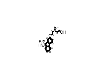 CC(=O)N(CCO)CCOc1ccc2c(c1)C(O)(C(F)(F)F)c1ccccc1-2